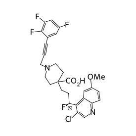 COc1ccc2ncc(Cl)c([C@@H](F)CCC3(C(=O)O)CCN(CC#Cc4cc(F)cc(F)c4F)CC3)c2c1